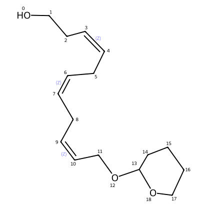 OCC/C=C\C/C=C\C/C=C\COC1CCCCO1